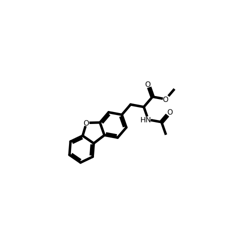 COC(=O)C(Cc1ccc2c(c1)oc1ccccc12)NC(C)=O